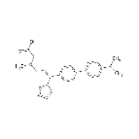 CC(C)c1ccc(-c2ccc(C(=CCN(C)CC(=O)O)c3ccsc3)cc2)cc1